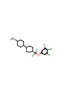 CCCC1CCC(C2CCC(C(F)(F)Oc3cc(F)c(F)c(F)c3)CC2)CC1